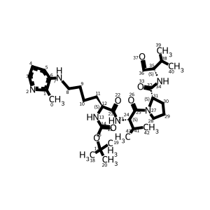 Cc1ncccc1NCCCC[C@H](NC(=O)OC(C)(C)C)C(=O)N[C@H](C(=O)N1CCC[C@H]1C(=O)N[C@H](C=O)C(C)C)C(C)C